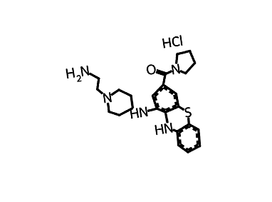 Cl.NCCN1CCC(Nc2cc(C(=O)N3CCCC3)cc3c2Nc2ccccc2S3)CC1